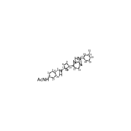 CC(=O)Nc1ccc(CNc2ccc(-c3ccnc(Nc4cccc(C)c4)n3)s2)cc1